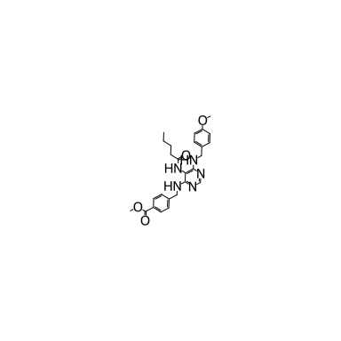 CCCCC(=O)Nc1c(NCc2ccc(OC)cc2)ncnc1NCc1ccc(C(=O)OC)cc1